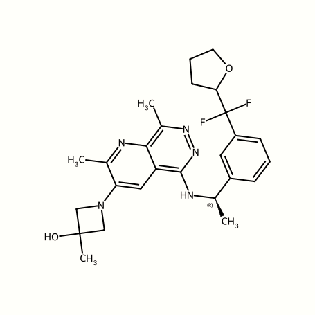 Cc1nc2c(C)nnc(N[C@H](C)c3cccc(C(F)(F)C4CCCO4)c3)c2cc1N1CC(C)(O)C1